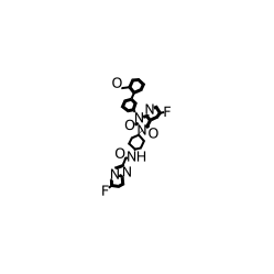 O=Cc1ccccc1-c1cccc(-n2c(=O)n([C@H]3CC[C@@H](NC(=O)c4cn5cc(F)ccc5n4)CC3)c(=O)c3cc(F)cnc32)c1